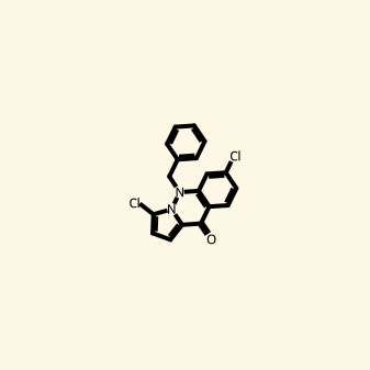 O=c1c2ccc(Cl)cc2n(Cc2ccccc2)n2c(Cl)ccc12